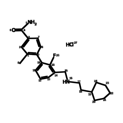 Cc1cc(C(N)=O)ccc1-c1cccc(CNCCC2CCCCC2)c1F.Cl